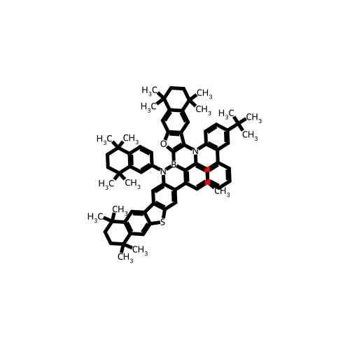 Cc1cc2c3c(c1)N(c1ccc(C(C)(C)C)cc1-c1ccccc1)c1c(oc4cc5c(cc14)C(C)(C)CCC5(C)C)B3N(c1ccc3c(c1)C(C)(C)CCC3(C)C)c1cc3c(cc1-2)sc1cc2c(cc13)C(C)(C)CCC2(C)C